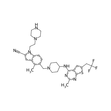 Cc1nc(NC2CCN(Cc3ccc4c(cc(C#N)n4CCN4CCNCC4)c3C)CC2)c2cc(CC(F)(F)F)sc2n1